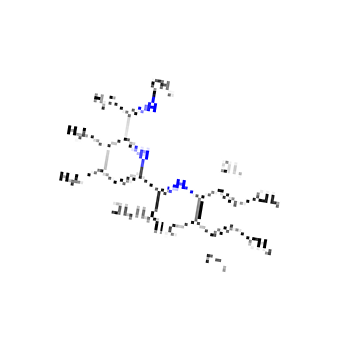 C/N=C(\C)c1nc(/C(C)=N/c2c(C)c(C)c(C)c(C)c2C)c(C)c(C)c1C